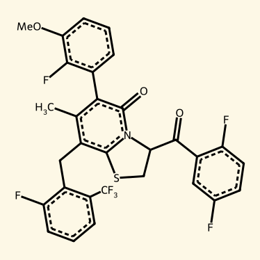 COc1cccc(-c2c(C)c(Cc3c(F)cccc3C(F)(F)F)c3n(c2=O)C(C(=O)c2cc(F)ccc2F)CS3)c1F